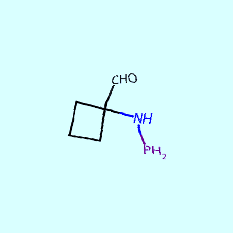 O=CC1(NP)CCC1